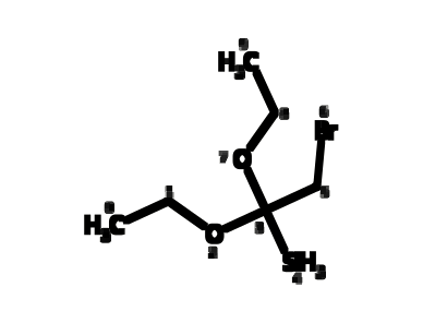 CCOC([SiH3])(CBr)OCC